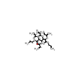 C=CCOC(=O)C(OC(=C)C=C)C(OC(=O)C=C)C(OC(=O)C=C)C(OC(=O)C=C)C(=O)OCC=C